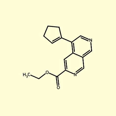 CCOC(=O)c1cc2c(C3=CCCC3)cncc2cn1